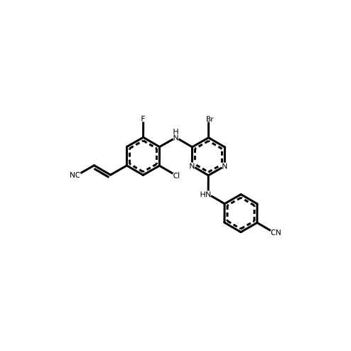 N#C/C=C/c1cc(F)c(Nc2nc(Nc3ccc(C#N)cc3)ncc2Br)c(Cl)c1